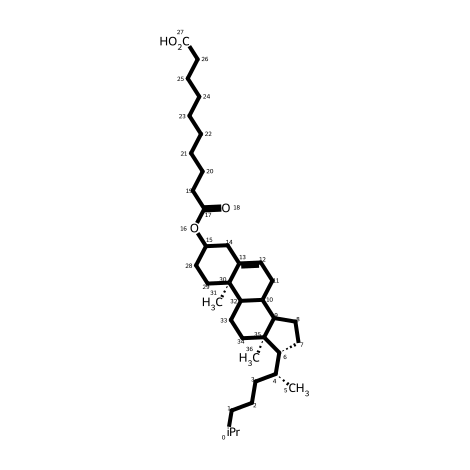 CC(C)CCC[C@@H](C)[C@H]1CCC2C3CC=C4CC(OC(=O)CCCCCCCCC(=O)O)CC[C@]4(C)C3CC[C@@]21C